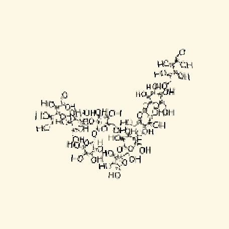 O=C[C@@H](O)[C@@H](O)[C@H](O)[C@H](O)CO.O=C[C@H](O)[C@@H](O)[C@@H](O)[C@H](O)CO.OC[C@H]1O[C@@](CO)(O[C@H]2O[C@H](CO)[C@@H](O)[C@H](O)[C@H]2O)[C@@H](O)[C@@H]1O.OC[C@H]1O[C@H](OC[C@H]2O[C@@H](O)[C@H](O)[C@@H](O)[C@@H]2O)[C@H](O)[C@@H](O)[C@H]1O.OC[C@H]1O[C@H](O[C@H]2O[C@H](CO)[C@@H](O)[C@H](O)[C@H]2O)[C@H](O)[C@@H](O)[C@@H]1O.OC[C@H]1O[C@](O)(CO)[C@@H](O)[C@@H]1O